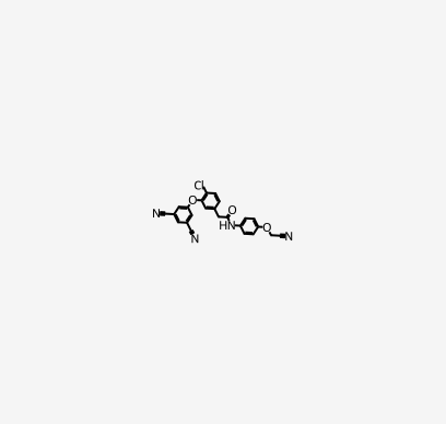 N#CCOc1ccc(NC(=O)Cc2ccc(Cl)c(Oc3cc(C#N)cc(C#N)c3)c2)cc1